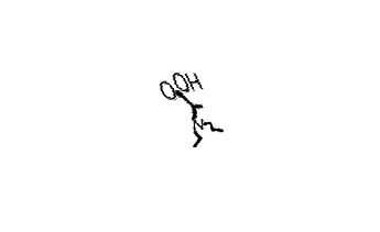 CCCN(/C=C(\C)C(=O)O)CCC